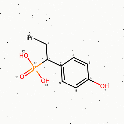 CC(C)CC(c1ccc(O)cc1)P(=O)(O)O